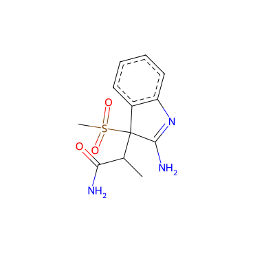 CC(C(N)=O)C1(S(C)(=O)=O)C(N)=Nc2ccccc21